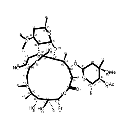 CC[C@H]1OC(=O)[C@H](C)[C@@H](O[C@H]2C[C@@](C)(OC)[C@@H](OC(C)=O)[C@H](C)O2)[C@H](C)[C@@H](O[C@@H]2O[C@H](C)C[C@H](N(C)C)[C@H]2OCCC#N)[C@](C)(O)C[C@@H](C)CN(C)[C@H](C)[C@@H](O)[C@]1(C)O